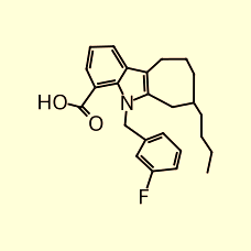 CCCCC1CCCc2c(n(Cc3cccc(F)c3)c3c(C(=O)O)cccc23)C1